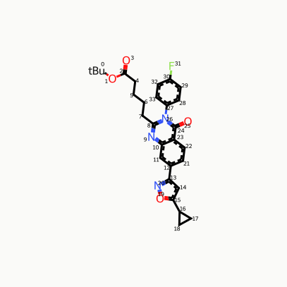 CC(C)(C)OC(=O)CCCCc1nc2cc(-c3cc(C4CC4)on3)ccc2c(=O)n1-c1ccc(F)cc1